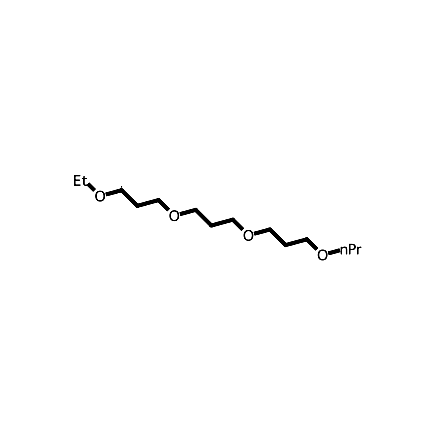 CCCOCCCOCCCOCC[CH]OCC